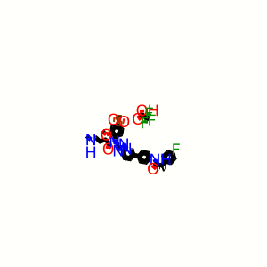 CNCCCC(=O)N(c1nc2ccc(-c3ccc(NC(=O)[C@H](C)c4ccc(F)cc4)cc3)cn2n1)c1ccc(S(C)(=O)=O)cc1OC.O=C(O)C(F)(F)F